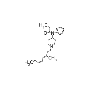 C=C/C=C\C=C(/C)CCN1CCC(N(C(=O)CC)c2ccccc2)CC1